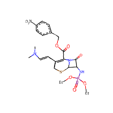 CCOP(=O)(NC1C(=O)N2C(C(=O)OCc3ccc([N+](=O)[O-])cc3)=C(C=CN(C)C)CSC12)OCC